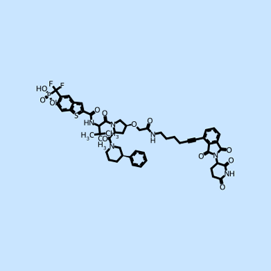 CC(C)(C)C(NC(=O)c1cc2cc(C(F)(F)P(=O)(O)O)ccc2s1)C(=O)N1C[C@@H](OCC(=O)NCCCCC#Cc2cccc3c2C(=O)N(C2CCC(=O)NC2=O)C3=O)C[C@H]1C(=O)N1CCC[C@H](c2ccccc2)C1